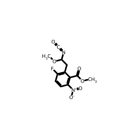 COC(=O)c1c([N+](=O)[O-])ccc(F)c1CC(N=C=O)OC